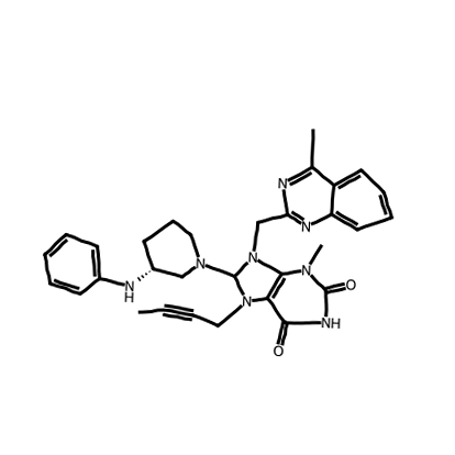 CC#CCN1c2c(n(C)c(=O)[nH]c2=O)N(Cc2nc(C)c3ccccc3n2)C1N1CCC[C@@H](Nc2ccccc2)C1